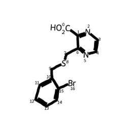 O=C(O)c1nccnc1CSCc1ccccc1Br